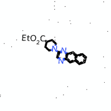 CCOC(=O)C1CCN(c2cnc3cc4ccccc4cc3n2)CC1